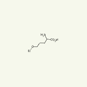 CCOCCCC(N)C(=O)O